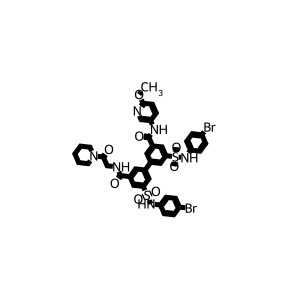 COc1ccc(NC(=O)c2cc(-c3cc(C(=O)NCC(=O)N4CCCCC4)cc(S(=O)(=O)Nc4ccc(Br)cc4)c3)cc(S(=O)(=O)Nc3ccc(Br)cc3)c2)cn1